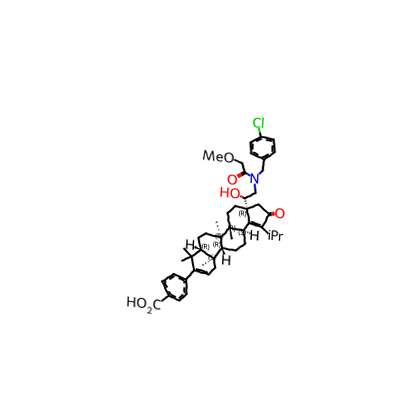 COCC(=O)N(Cc1ccc(Cl)cc1)CC(O)[C@@]12CC[C@]3(C)[C@H](CC[C@@H]4[C@@]5(C)CC=C(c6ccc(C(=O)O)cc6)C(C)(C)[C@@H]5CC[C@]43C)C1=C(C(C)C)C(=O)C2